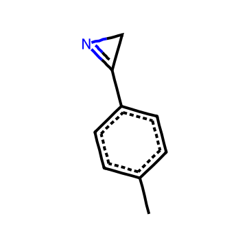 Cc1ccc(C2=NC2)cc1